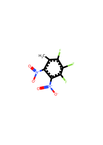 Cc1c(F)c(F)c(F)c([N+](=O)[O-])c1[N+](=O)[O-]